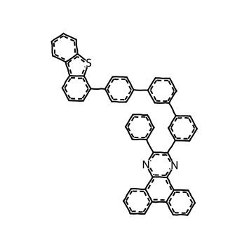 c1ccc(-c2nc3c4ccccc4c4ccccc4c3nc2-c2cccc(-c3cccc(-c4ccc(-c5cccc6c5sc5ccccc56)cc4)c3)c2)cc1